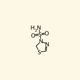 NS(=O)(=O)N1CSC=N1